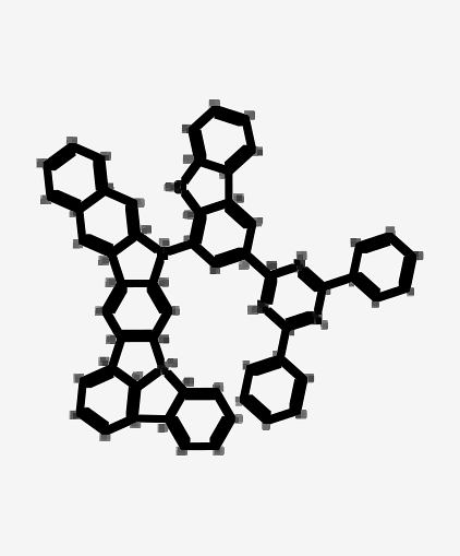 c1ccc(-c2nc(-c3ccccc3)nc(-c3cc(-n4c5cc6ccccc6cc5c5cc6c7cccc8c9ccccc9n(c6cc54)c87)c4oc5ccccc5c4c3)n2)cc1